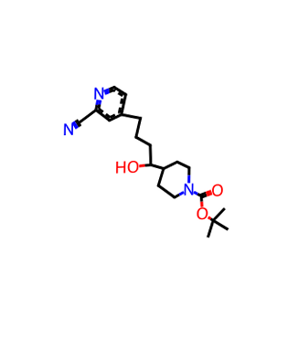 CC(C)(C)OC(=O)N1CCC(C(O)CCCc2ccnc(C#N)c2)CC1